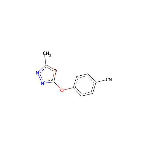 Cc1nnc(Oc2ccc(C#N)cc2)s1